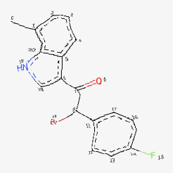 Cc1cccc2c(C(=O)C(Br)c3ccc(F)cc3)c[nH]c12